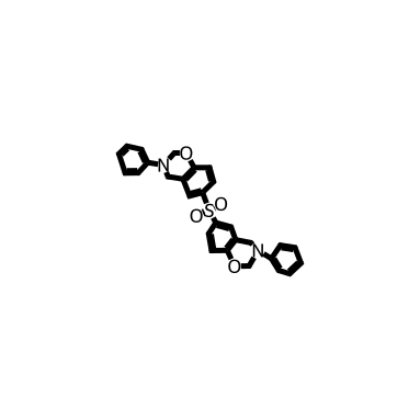 O=S(=O)(c1ccc2c(c1)CN(c1ccccc1)CO2)c1ccc2c(c1)CN(c1ccccc1)CO2